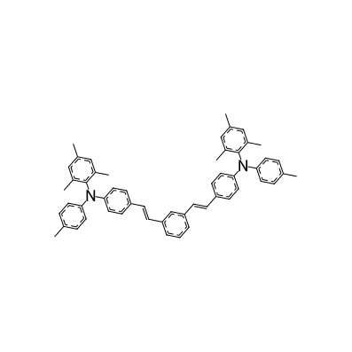 Cc1ccc(N(c2ccc(C=Cc3cccc(C=Cc4ccc(N(c5ccc(C)cc5)c5c(C)cc(C)cc5C)cc4)c3)cc2)c2c(C)cc(C)cc2C)cc1